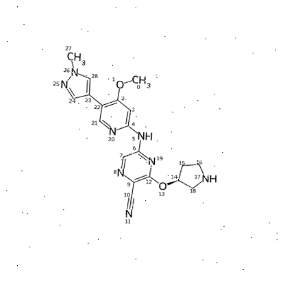 COc1cc(Nc2cnc(C#N)c(O[C@H]3CCNC3)n2)ncc1-c1cnn(C)c1